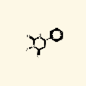 CN1C(=N)N[C@@H](c2ccccc2)CC1=O